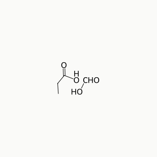 CCC(=O)O.O=CO